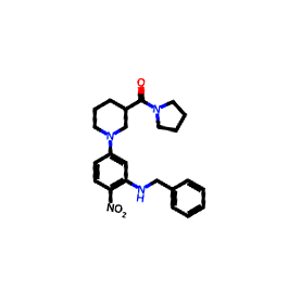 O=C(C1CCCN(c2ccc([N+](=O)[O-])c(NCc3ccccc3)c2)C1)N1CCCC1